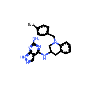 CC(C)(C)c1ccc(CN2CC(Nc3nc(N)nc4[nH]ncc34)Cc3ccccc32)cc1